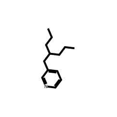 CCCC(CCC)Cc1cccnc1